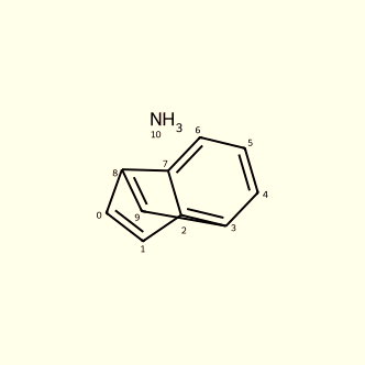 C1=Cc2c3cccc2C1=C3.N